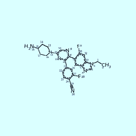 CCn1cnc2cc(-c3ncc(N4CCC(N)CC4)nc3-c3ccc(C#N)c(F)c3)c(F)cc21